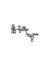 COc1ccc(Cl)cc1N1CCN(CCCNc2nccc(C(=O)NCCNc3nc(=O)cc[nH]3)n2)CC1